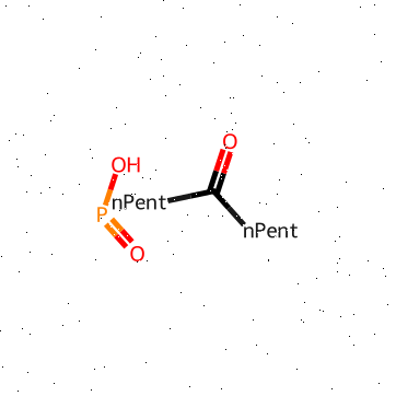 CCCCCC(=O)CCCCC.O=PO